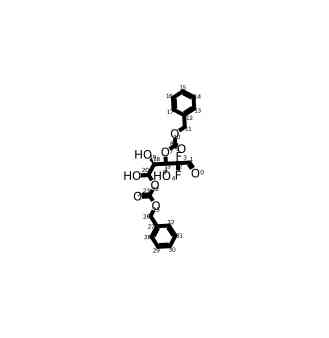 O=CC(F)(F)[C@](O)(OC(=O)OCc1ccccc1)[C@H](O)C(O)OC(=O)OCc1ccccc1